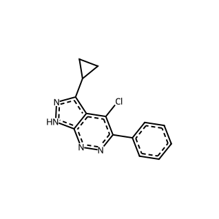 Clc1c(-c2ccccc2)nnc2[nH]nc(C3CC3)c12